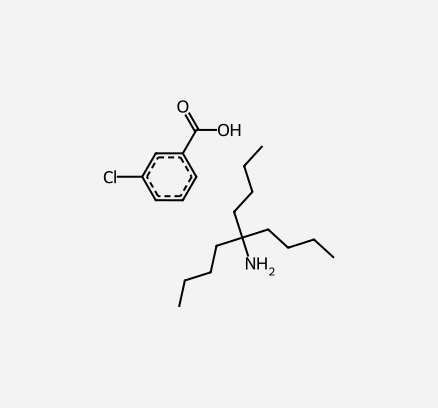 CCCCC(N)(CCCC)CCCC.O=C(O)c1cccc(Cl)c1